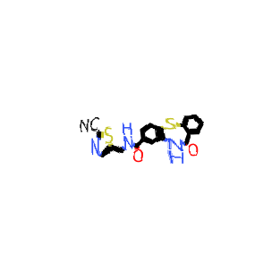 N#Cc1ncc(CNC(=O)c2ccc3c(c2)NC(=O)c2ccccc2S3)s1